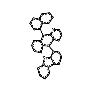 c1ccc2c(-c3c4ccccc4c(-c4cccc5c4sc4ccccc45)c4cccnc34)cccc2c1